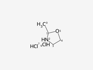 CC1NCCO1.Cl.Cl